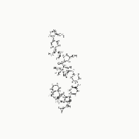 Cc1ncsc1-c1ccc([C@H](C)NC(=O)[C@@H]2C[C@@H](O)CN2C(=O)[C@@H](NC(=O)CN2CCC(CN3CCC(n4nc(NC5CC5)c(N)c4/C=C(\N)c4ccccc4O)CC3)CC2)C(C)(C)C)cc1